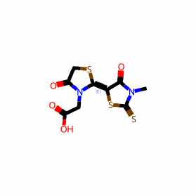 CN1C(=O)/C(=C2\SCC(=O)N2CC(=O)O)SC1=S